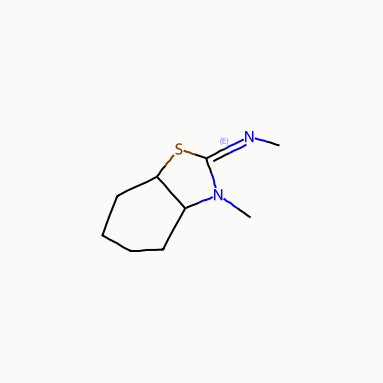 C/N=C1/SC2CCCCC2N1C